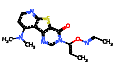 C/C=C(\O/N=C/C)n1cnc2c(sc3nccc(N(C)C)c32)c1=O